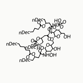 CCCCCCCCCCCCCCCC(=O)OC(CCCCCCCCCCC)CC(=O)NC1[C@H](O)OC(CO[C@@H]2OC(CO)[C@@H](OP(=O)(O)O)[C@H](OC(=O)CC(CCCCCCCCCCC)OC(=O)CCCCCCCCCCCCC)C2NC(=O)CC(CCCCCCCCCCC)OC(=O)CCCCCCCCCCC)[C@@H](O)[C@@H]1O